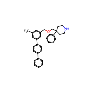 FC(F)(F)c1cc(COCC2(c3ccccc3)CCNCC2)cc(-c2ccc(-c3ccccc3)cc2)c1